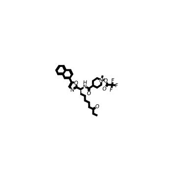 CCC(=O)CCCCC[C@H](NC(=O)C1CC[N+](C)(OC(=O)C(F)(F)F)CC1)c1ncc(-c2ccc3ccccc3c2)o1